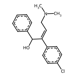 CN(C)CC=C(c1ccc(Cl)cc1)C(O)c1ccccc1